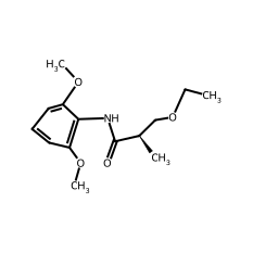 CCOC[C@@H](C)C(=O)Nc1c(OC)cccc1OC